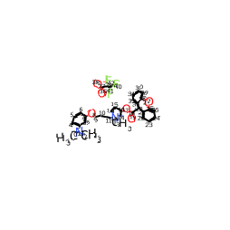 CN(C)c1cccc(OCCC[N+]2(C)CCC(OC(=O)C3c4ccccc4Oc4ccccc43)C2)c1.O=C([O-])C(F)(F)F